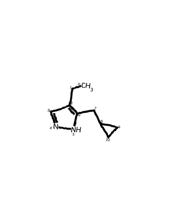 CCc1cn[nH]c1CC1CC1